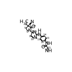 CCC1(C#N)CCN(c2ccnc(Nc3ccc(NC(=O)C=N)cc3)n2)C1=O